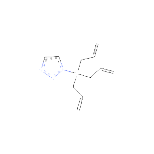 C=CC[Si](CC=C)(CC=C)n1ccnn1